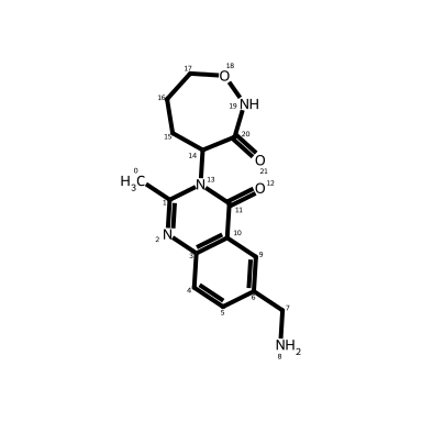 Cc1nc2ccc(CN)cc2c(=O)n1C1CCCONC1=O